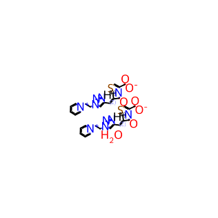 O.O=C([O-])C1=CS[C@@H]2/C(=C\c3cn(CC[n+]4ccccc4)nn3)C(=O)N12.O=C([O-])C1=CS[C@@H]2/C(=C\c3cn(CC[n+]4ccccc4)nn3)C(=O)N12